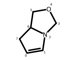 C1=CN2COCC2C1